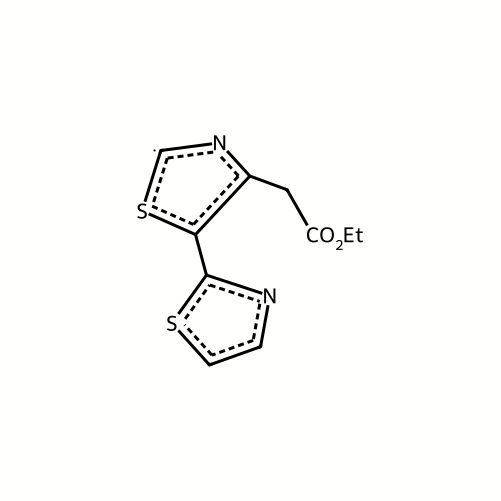 CCOC(=O)Cc1n[c]sc1-c1nccs1